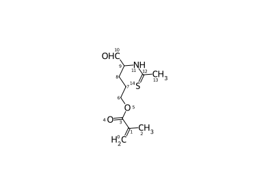 C=C(C)C(=O)OCCCC(C=O)NC(C)=S